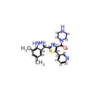 Cc1cc(C)c2[nH]nc(-c3nc(C(=O)N4CCNCC4)c(-c4cccnc4)s3)c2c1